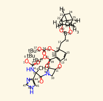 CC(C)(C)OC(=O)NC(C)(C(=O)N1CC(Oc2ccc(CCB3O[C@@H]4C[C@@H]5C[C@@H](C5(C)C)[C@]4(C)O3)c(OC(=O)OC(C)(C)C)c2C(=O)OC(C)(C)C)C1)c1c[nH]cn1